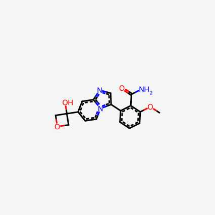 COc1cccc(-c2cnc3cc(C4(O)COC4)ccn23)c1C(N)=O